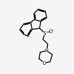 [O-][S+](CCN1CCOCC1)C1c2ccccc2-c2ccccc21